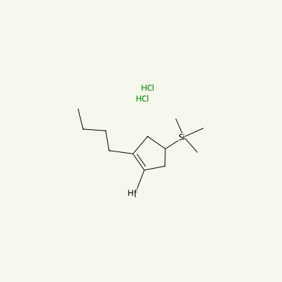 CCCCC1=[C]([Hf])CC([Si](C)(C)C)C1.Cl.Cl